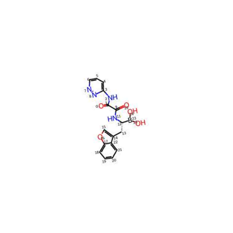 O=C(Nc1cccnn1)C(=O)N[C@@H](Cc1coc2ccccc12)B(O)O